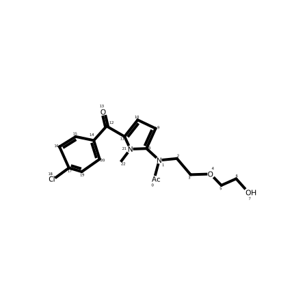 CC(=O)N(CCOCCO)c1ccc(C(=O)c2ccc(Cl)cc2)n1C